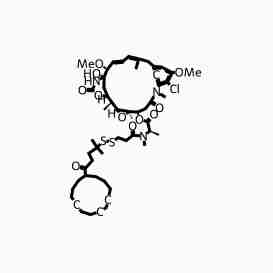 COc1cc2cc(c1Cl)N(C)C(=O)C[C@@H](OC(=O)[C@@H](C)N(C)C(=O)CCSSC(C)(C)CCC(=O)C1CCCCCCCCCCCC1)[C@@]1(C)O[C@@H]1[C@@H](C)[C@H]1C[C@](O)(NC(=O)O1)[C@@H](OC)/C=C/C=C(\C)C2